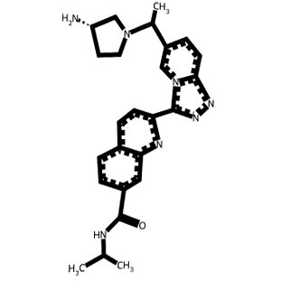 CC(C)NC(=O)c1ccc2ccc(-c3nnc4ccc(C(C)N5CC[C@H](N)C5)cn34)nc2c1